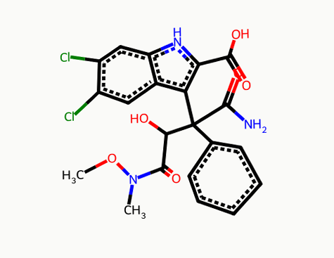 CON(C)C(=O)C(O)C(C(N)=O)(c1ccccc1)c1c(C(=O)O)[nH]c2cc(Cl)c(Cl)cc12